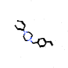 C=Cc1ccc(CN2CCN(C(/C=C\C)=C/C)CC2)cc1